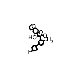 Cc1ccc(-c2ccc(F)cc2)cc1C1=C(O)C2(CCC3(CCCO3)CC2)OC1=O